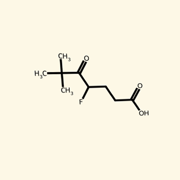 CC(C)(C)C(=O)C(F)CCC(=O)O